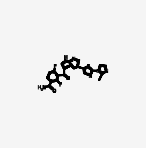 Cc1nccn1-c1ncc(-c2cnc3[nH]cc(C(=O)c4c(F)ccc(C(N)=O)c4F)c3c2)s1